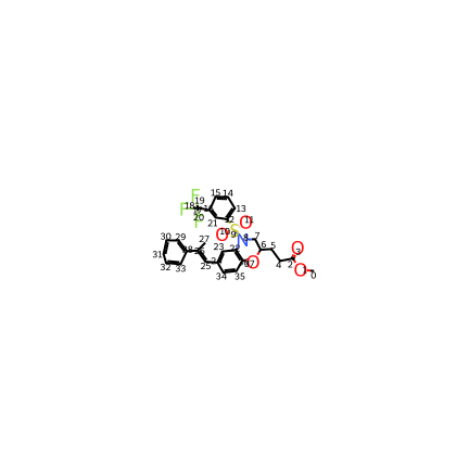 COC(=O)CCC1CN(S(=O)(=O)c2cccc(C(F)(F)F)c2)c2cc(C=C(C)c3ccccc3)ccc2O1